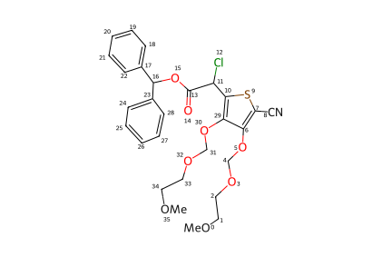 COCCOCOc1c(C#N)sc(C(Cl)C(=O)OC(c2ccccc2)c2ccccc2)c1OCOCCOC